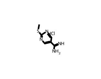 CSc1ncc(C(=N)N)cn1.Cl